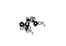 Cc1cccc(C(=O)NC(C(=O)N2CCC3(CC2)C(=O)N(C)CN3c2ccccc2Cl)C(C)C)c1